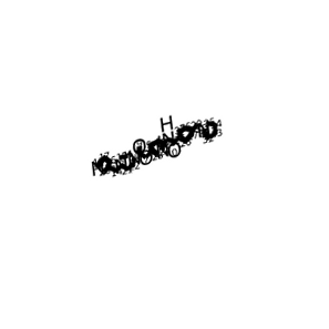 O=C(Nc1ccc(OC(=O)N2CCN(Cc3cccnc3)CC2)cn1)c1ccc(CN2CCCCC2)cc1